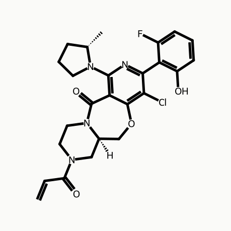 C=CC(=O)N1CCN2C(=O)c3c(N4CCC[C@@H]4C)nc(-c4c(O)cccc4F)c(Cl)c3OC[C@H]2C1